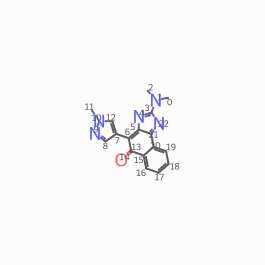 CN(C)C1=NC2=C(c3cnn(C)c3)C(=O)c3ccccc3C2=N1